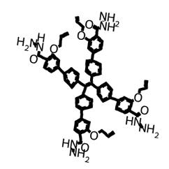 C=CCOc1cc(-c2ccc(C(=C(c3ccc(-c4ccc(C(=O)NN)c(OCC=C)c4)cc3)c3ccc(-c4ccc(C(=O)NN)c(OCC=C)c4)cc3)c3ccc(-c4ccc(C(=O)NN)c(OCC=C)c4)cc3)cc2)ccc1C(=O)NN